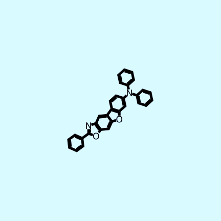 c1ccc(-c2nc3cc4c(cc3o2)oc2cc(N(c3ccccc3)c3ccccc3)ccc24)cc1